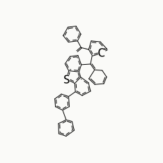 C=C(c1ccccc1)c1ccccc1/C(=C1/C=CC=CC1)c1cccc2sc3c(-c4cccc(-c5ccccc5)c4)cccc3c12